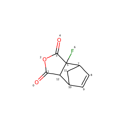 O=C1OC(=O)C2(F)C3C=CC(C3)C12